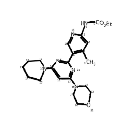 CCOC(=O)Nc1cc(C)c(-c2nc(N3CCCCC3)cc(N3CCOCC3)n2)cn1